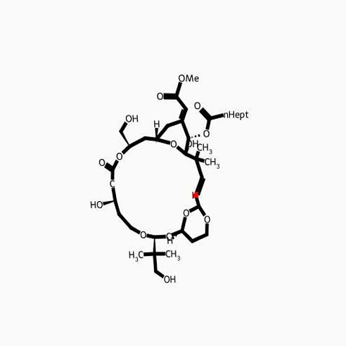 CCCCCCCC(=O)O[C@H]1/C(=C/C(=O)OC)C[C@H]2C[C@H](CO)OC(=O)C[C@H](O)CCO[C@H](C(C)(C)CO)C[C@@H]3CCO[C@H](/C=C/C(C)(C)[C@]1(O)O2)O3